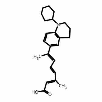 CC(C=CC=C(C)c1ccc2c(c1)CCCN2C1CCCCC1)=CC(=O)O